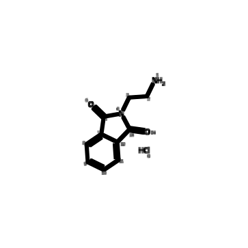 Cl.NCCN1C(=O)c2ccccc2C1=O